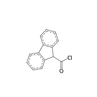 O=C(Cl)C1c2ccccc2-c2ccccc21